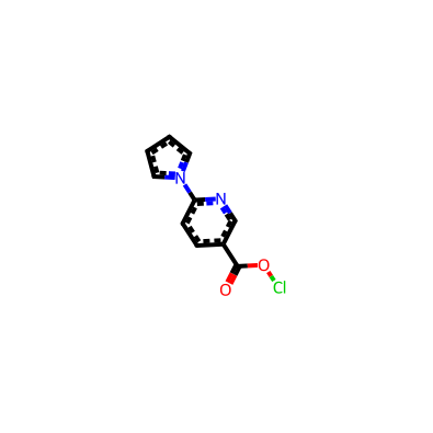 O=C(OCl)c1ccc(-n2cccc2)nc1